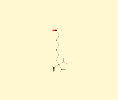 CC(O)C(CCCCCCC(=O)O)(C(=O)O)C(C)O